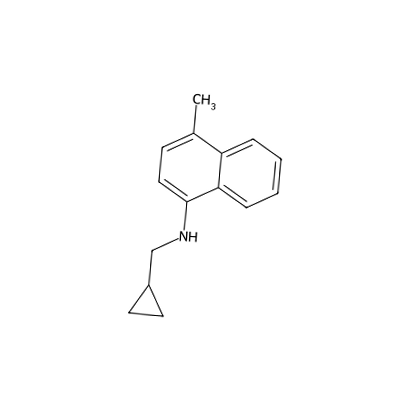 Cc1ccc(NCC2CC2)c2ccccc12